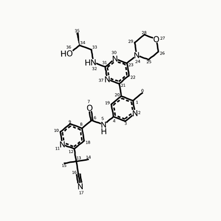 Cc1ncc(NC(=O)c2ccnc(C(C)(C)C#N)c2)cc1-c1cc(N2CCOCC2)nc(NC[C@H](C)O)n1